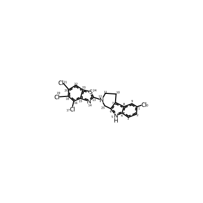 Clc1ccc2[nH]c3c(c2c1)CCN(c1nc2c(Cl)c(Cl)c(Cl)cc2s1)C3